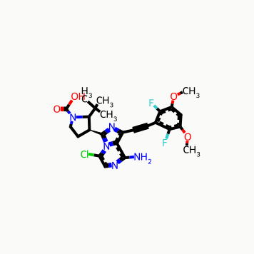 COc1cc(OC)c(F)c(C#Cc2nc([C@H]3CCN(C(=O)O)C3C(C)(C)C)n3c(Cl)cnc(N)c23)c1F